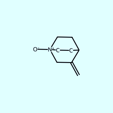 C=C1C[N+]2([O-])CCC1CC2